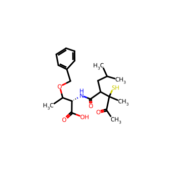 CC(=O)C(C)(S)C(CC(C)C)C(=O)N[C@H](C(=O)O)C(C)OCc1ccccc1